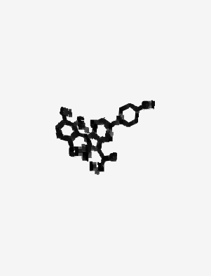 Cc1ccc(O)c(C)c1-n1c(N)c(C(N)=O)c2nc(N3CCC(O)CC3)cnc21